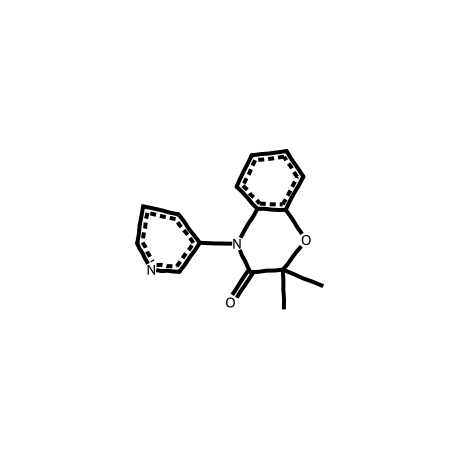 CC1(C)Oc2ccccc2N(c2cccnc2)C1=O